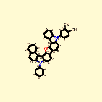 N#Cc1ccc(-n2c3ccccc3c3c4oc5c(ccc6c5c5c7ccccc7ccc5n6-c5ccccc5)c4ccc32)cc1C#N